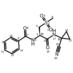 CS(=O)(=O)C[C@H](NC(=O)c1ccccc1)C(=O)NC1(C#N)CC1